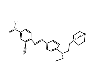 CCN(CC[N+]12CCN(CC1)CC2)c1ccc(/N=N/c2ccc([N+](=O)[O-])cc2C#N)cc1